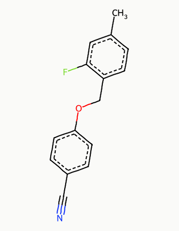 Cc1ccc(COc2ccc(C#N)cc2)c(F)c1